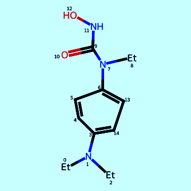 CCN(CC)c1ccc(N(CC)C(=O)NO)cc1